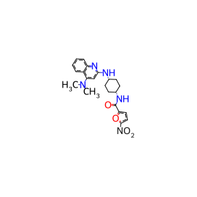 CN(C)c1cc(N[C@H]2CC[C@@H](NC(=O)c3ccc([N+](=O)[O-])o3)CC2)nc2ccccc12